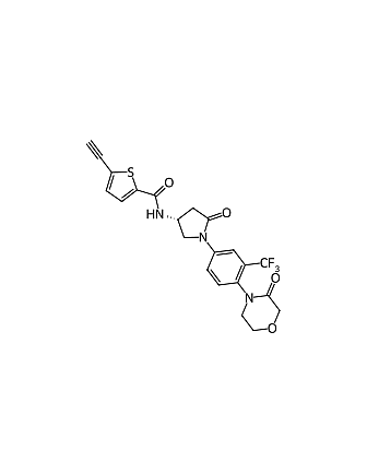 C#Cc1ccc(C(=O)N[C@@H]2CC(=O)N(c3ccc(N4CCOCC4=O)c(C(F)(F)F)c3)C2)s1